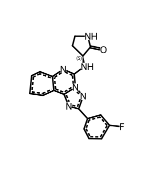 O=C1NCC[C@@H]1Nc1nc2ccccc2c2nc(-c3cccc(F)c3)nn12